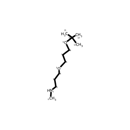 CNCCCOCCCOC(C)(C)C